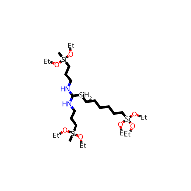 CCO[Si](C)(CCCNC(NCCC[Si](C)(OCC)OCC)[SiH2]CCCCCC[Si](OCC)(OCC)OCC)OCC